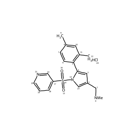 CNCc1cc(-c2ccc(C)cc2C)n(S(=O)(=O)c2cccnc2)c1.Cl